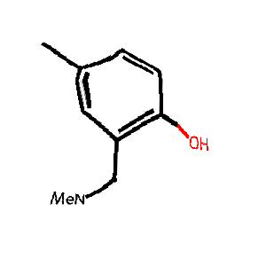 CNCc1cc(C)ccc1O